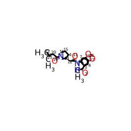 CC(=O)c1cc2c(cc1NC(=O)C[C@@H]1CCCN(C(=O)CC(C)C)C1)OCO2